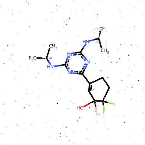 BC1(O)C=C(c2nc(N[C@H](C)C(F)(F)F)nc(N[C@H](C)C(F)(F)F)n2)CCC1(F)F